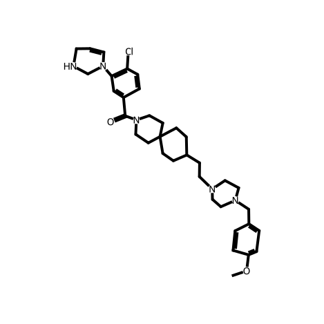 COc1ccc(CN2CCN(CCC3CCC4(CC3)CCN(C(=O)c3ccc(Cl)c(N5C=CCNC5)c3)CC4)CC2)cc1